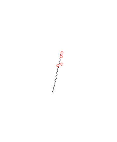 CCCCCCCCCCCCCCCOC(=O)CCCOC=O